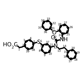 O=C(O)Cc1ccc(Sc2cccc(N(CCc3ccccc3)C(=O)Nc3ccccc3Oc3ccccc3)c2)cc1